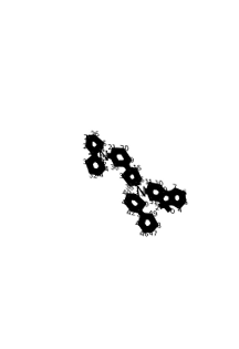 CC1(C)c2ccccc2-c2ccc(N(c3ccc(-c4cccc(-n5c6ccccc6c6ccccc65)c4)cc3)c3cccc(-c4ccccc4)c3)cc21